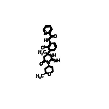 C[C@@H]1C[C@H](N2C(=N)N[C@](C)(c3cccc(NC(=O)c4ccccn4)c3Cl)CC2=O)CCO1